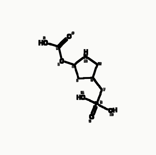 O=C(O)OC1CC(CP(=O)(O)O)CN1